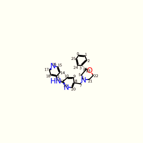 c1ccc([C@H]2CN(Cc3ccc(Nc4ccncc4)nc3)CCO2)cc1